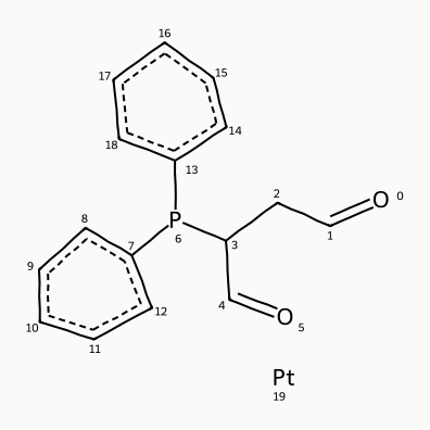 O=CCC(C=O)P(c1ccccc1)c1ccccc1.[Pt]